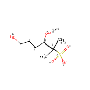 CC(C)(C(O)CCCO)S(=O)(=O)O.[NaH]